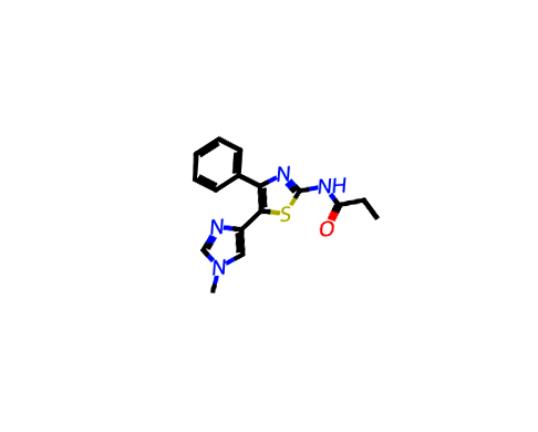 CCC(=O)Nc1nc(-c2ccccc2)c(-c2cn(C)cn2)s1